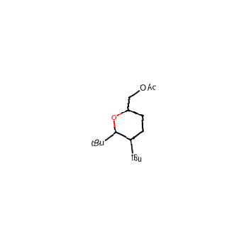 CC(=O)OCC1CCC(C(C)(C)C)C(C(C)(C)C)O1